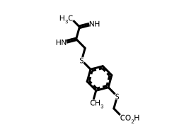 CC(=N)C(=N)CSc1ccc(SCC(=O)O)c(C)c1